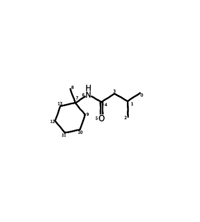 CC(C)CC(=O)NC1(C)CCCCC1